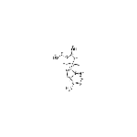 C[C@]1(c2ccc3c(N)ncnn23)C[C@H](O)[C@@H](CO)O1